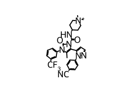 Cc1c(-c2ccnn2-c2ccc(C#N)cc2)n(C(=O)NC2CC[N+](C)(C)CC2)c(=O)n1-c1cccc(C(F)(F)F)c1